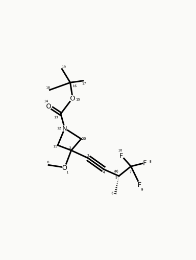 COC1(C#C[C@@H](C)C(F)(F)F)CN(C(=O)OC(C)(C)C)C1